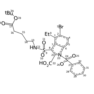 CCc1c(Br)ccc2c1c(S(=O)(=O)NCCCCC(=O)OC(C)(C)C)c(C(=O)O)n2S(=O)(=O)c1ccccc1